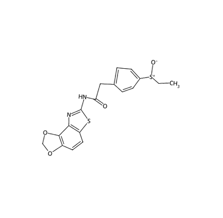 CC[S+]([O-])c1ccc(CC(=O)Nc2nc3c4c(ccc3s2)OCO4)cc1